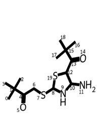 CC(C)(C)C(=O)CSC1NC(N)C(C(=O)C(C)(C)C)S1